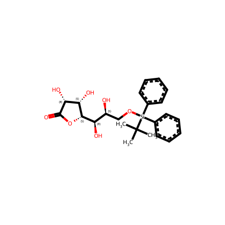 CC(C)(C)[Si](OC[C@H](O)[C@@H](O)[C@@H]1OC(=O)[C@H](O)[C@@H]1O)(c1ccccc1)c1ccccc1